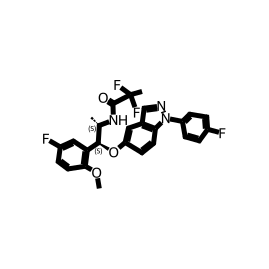 COc1ccc(F)cc1[C@H](Oc1ccc2c(cnn2-c2ccc(F)cc2)c1)[C@H](C)NC(=O)C(C)(F)F